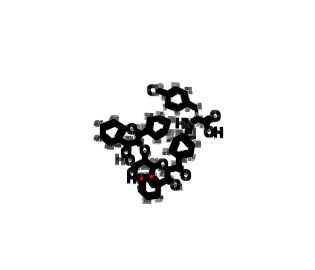 O=C(O)[C@@H](Cc1ccc(Cl)cc1)NCl.O=C(c1ccccc1)C(OC(C(=O)O)C(OC(C(=O)c1ccccc1)C(=O)c1ccccc1)C(=O)O)C(=O)c1ccccc1